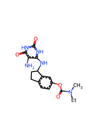 CCN(C)C(=O)Oc1ccc2c(c1)C(Nc1[nH]c(=O)[nH]c(=O)c1N)CC2